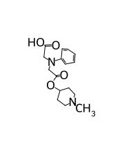 CN1CCC(OC(=O)CN(CC(=O)O)c2ccccc2)CC1